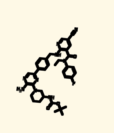 CCN(C(=O)c1cc(C#N)cnc1NCc1ccc(-c2cnc(N)c(N3CCCC(NC(=O)OC(C)(C)C)C3)n2)cc1)c1ccc(F)cc1